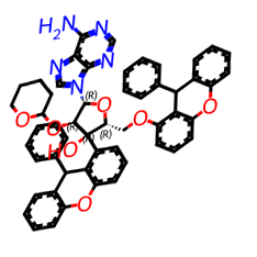 Nc1ncnc2c1ncn2[C@@H]1O[C@H](COc2cccc3c2C(c2ccccc2)c2ccccc2O3)[C@](O)(c2cccc3c2C(c2ccccc2)c2ccccc2O3)[C@H]1OC1CCCCO1